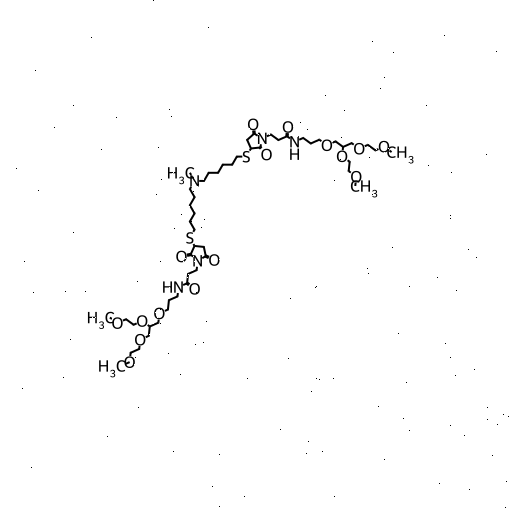 COCCOCC(COCCCNC(=O)CCN1C(=O)CC(SCCCCCCN(C)CCCCCCSC2CC(=O)N(CCC(=O)NCCCOCC(COCCOC)OCCOC)C2=O)C1=O)OCCOC